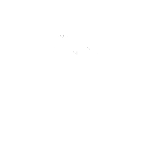 COC(=O)C1CCCCCCCCCCCCCCCONN1